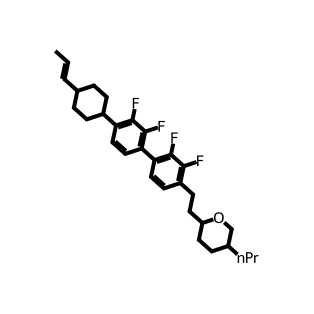 C/C=C/C1CCC(c2ccc(-c3ccc(CCC4CCC(CCC)CO4)c(F)c3F)c(F)c2F)CC1